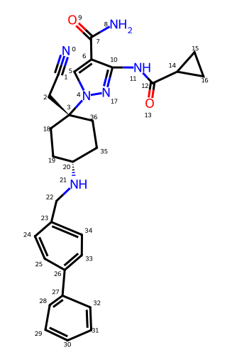 N#CC[C@]1(n2cc(C(N)=O)c(NC(=O)C3CC3)n2)CC[C@@H](NCc2ccc(-c3ccccc3)cc2)CC1